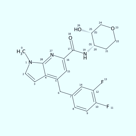 Cn1ccc2c(Cc3ccc(F)c(F)c3)cc(C(=O)N[C@H]3CCOC[C@H]3O)nc21